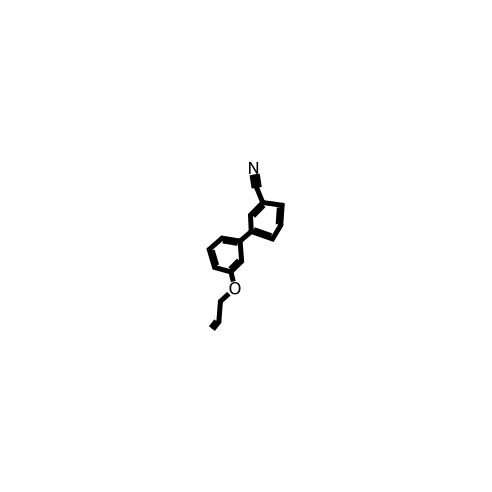 C=CCOc1cccc(-c2cccc(C#N)c2)c1